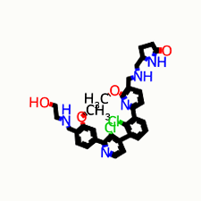 COc1cc(-c2nccc(-c3cccc(-c4ccc(CNCC5CCC(=O)N5)c(OC)n4)c3Cl)c2Cl)ccc1CNCCO